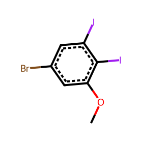 COc1cc(Br)cc(I)c1I